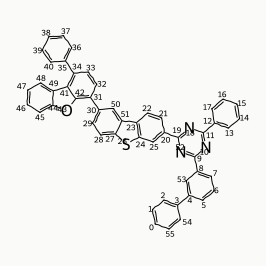 c1ccc(-c2cccc(-c3nc(-c4ccccc4)nc(-c4ccc5c(c4)sc4ccc(-c6ccc(-c7ccccc7)c7c6oc6ccccc67)cc45)n3)c2)cc1